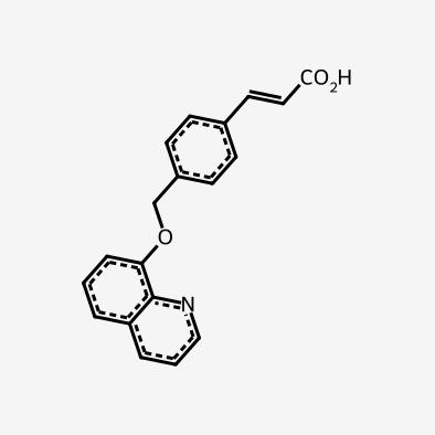 O=C(O)C=Cc1ccc(COc2cccc3cccnc23)cc1